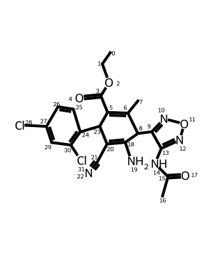 CCOC(=O)C1=C(C)C(c2nonc2NC(C)=O)C(N)=C(C#N)C1c1ccc(Cl)cc1Cl